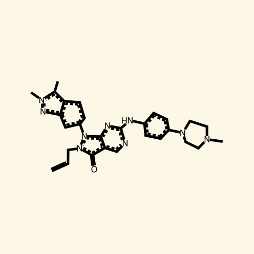 C=CCn1c(=O)c2cnc(Nc3ccc(N4CCN(C)CC4)cc3)nc2n1-c1ccc2c(C)n(C)nc2c1